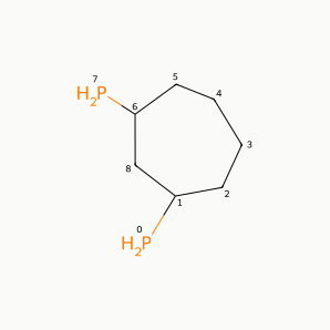 PC1CCCCC(P)C1